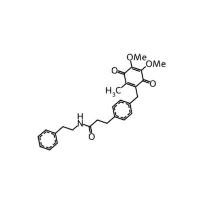 COC1=C(OC)C(=O)C(Cc2ccc(CCC(=O)NCCc3ccccc3)cc2)=C(C)C1=O